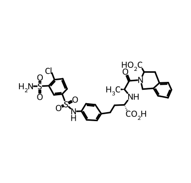 C[C@H](N[C@@H](CCc1ccc(NS(=O)(=O)c2ccc(Cl)c(S(N)(=O)=O)c2)cc1)C(=O)O)C(=O)N1Cc2ccccc2CC1C(=O)O